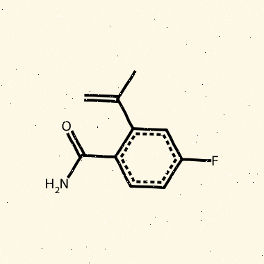 C=C(C)c1cc(F)ccc1C(N)=O